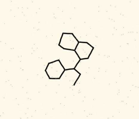 [CH2]CC(C1CCCCC1)C1CCCC2CCCCC21